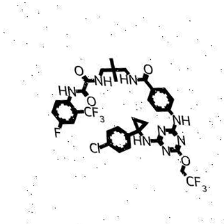 CC(C)(CNC(=O)C(=O)Nc1ccc(F)cc1C(F)(F)F)CNC(=O)c1ccc(Nc2nc(NC3(c4ccc(Cl)cc4)CC3)nc(OCC(F)(F)F)n2)cc1